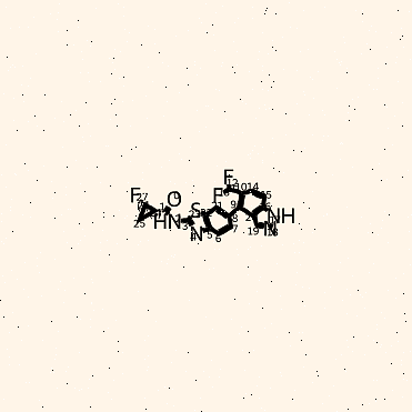 O=C(Nc1nc2ccc(-c3c(C(F)F)ccc4[nH]ncc34)cc2s1)[C@@H]1C[C@@H]1F